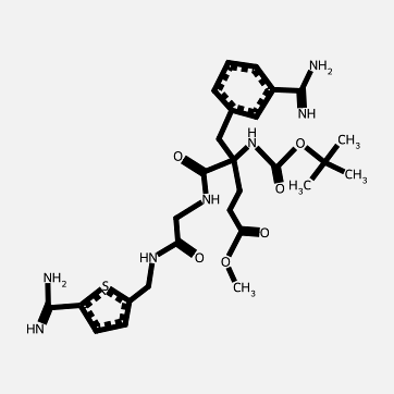 COC(=O)CCC(Cc1cccc(C(=N)N)c1)(NC(=O)OC(C)(C)C)C(=O)NCC(=O)NCc1ccc(C(=N)N)s1